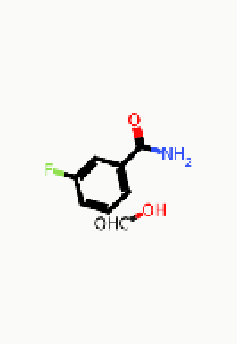 NC(=O)c1cccc(F)c1.O=CO